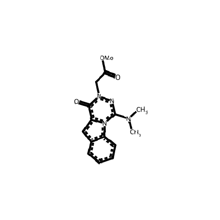 COC(=O)Cn1nc(N(C)C)n2c(cc3ccccc32)c1=O